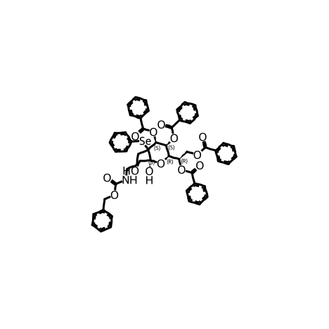 O=C(NCCCC1([Se]c2ccccc2)[C@@H](OC(=O)c2ccccc2)[C@@H](OC(=O)c2ccccc2)[C@@H]([C@@H](COC(=O)c2ccccc2)OC(=O)c2ccccc2)O[C@@]1(O)CO)OCc1ccccc1